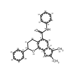 Cc1nc2c3c(c(C(=O)Nc4ccccc4)cn2c1C)CCC(c1ccccc1)O3